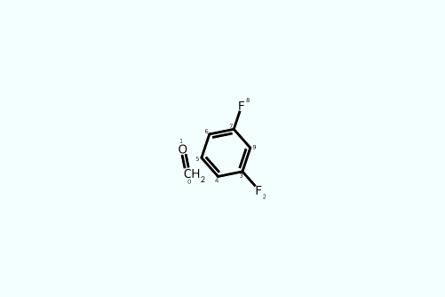 C=O.Fc1cccc(F)c1